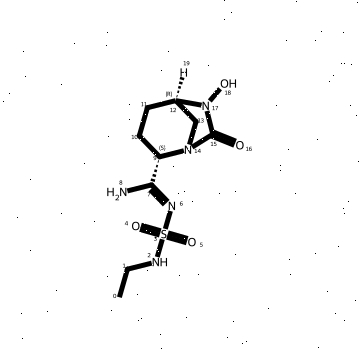 CCNS(=O)(=O)N=C(N)[C@@H]1CC[C@@H]2CN1C(=O)N2O